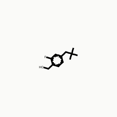 CC(C)(C)Cc1ccc(CO)c(F)c1